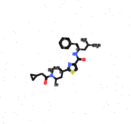 CC(=O)O[C@H](CC(C(C)C)N(C)C(=O)CC1CC1)c1nc(C(=O)N[C@@H](Cc2ccccc2)CC(C)C(=O)O)cs1